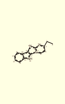 CCc1ccn2c(n1)nc1c3ccccc3[nH]c12